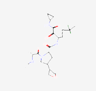 CC(F)(F)CCC(NC(=O)[C@@H]1CC(C2COC2)CN1C(=O)[C@@H](NC(=O)O)C(C)(C)C)C(=O)C(=O)NC1CC1